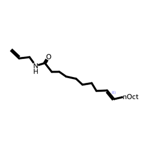 C=CCNC(=O)CCCCCCC/C=C/CCCCCCCC